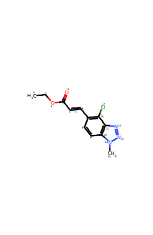 CCOC(=O)/C=C/c1ccc2c(nnn2C)c1Cl